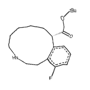 CC(C)(C)OC(=O)[C@H]1CCCCCNCCc2c(F)cccc21